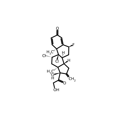 C=C1C[C@H]2[C@@H]3C[C@H](F)C4=CC(=O)C=C[C@]4(C)[C@@]3(Cl)[C@@H](Cl)C[C@]2(C)[C@@]1(O)C(=O)CO